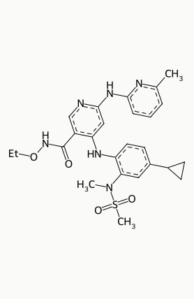 CCONC(=O)c1cnc(Nc2cccc(C)n2)cc1Nc1ccc(C2CC2)cc1N(C)S(C)(=O)=O